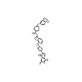 Cc1c(F)cc(NC(=O)c2ccc(Oc3cccc4c3CCN4CC(=O)N3CCN(Cc4ccc5c(c4)OCO5)CC3)nc2)c(F)c1F